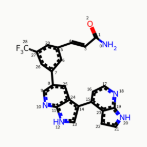 NC(=O)C=Cc1cc(-c2cnc3[nH]cc(-c4ccnc5[nH]ccc45)c3c2)cc(C(F)(F)F)c1